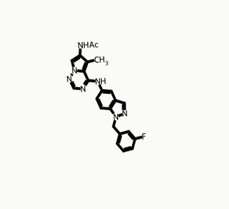 CC(=O)Nc1cn2ncnc(Nc3ccc4c(cnn4Cc4cccc(F)c4)c3)c2c1C